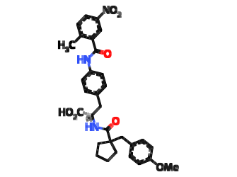 COc1ccc(CC2(C(=O)N[C@@H](Cc3ccc(NC(=O)c4cc([N+](=O)[O-])ccc4C)cc3)C(=O)O)CCCC2)cc1